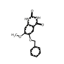 COc1cc2[nH]c(=O)[nH]c(=O)c2cc1OCc1ccccc1